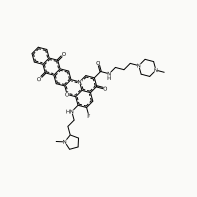 CN1CCN(CCCNC(=O)c2cn3c4cc5c(=O)c6ccccc6c(=O)c5cc4oc4c(NCCC5CCCN5C)c(F)cc(c2=O)c43)CC1